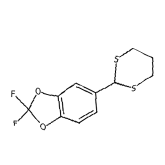 FC1(F)Oc2ccc(C3SCCCS3)cc2O1